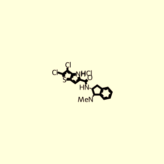 CN[C@@H]1c2ccccc2C[C@H]1NC(=O)c1cc2sc(Cl)c(Cl)c2[nH]1.Cl